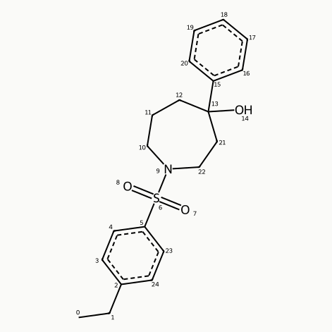 CCc1ccc(S(=O)(=O)N2CCCC(O)(c3ccccc3)CC2)cc1